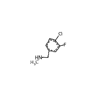 CNCc1ccc(Cl)c(F)c1